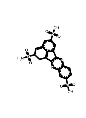 NS(=O)(=O)C1C=c2cc(S(=O)(=O)O)cc3c2=C(C1)c1nc2cc(S(=O)(=O)O)ccc2nc1-3